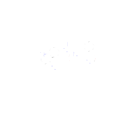 CC(=O)N1CCCC(NC(=O)Nc2ccc3nc(C)cc(N)c3c2)C1c1ccccc1